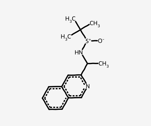 CC(N[S+]([O-])C(C)(C)C)c1cc2ccccc2cn1